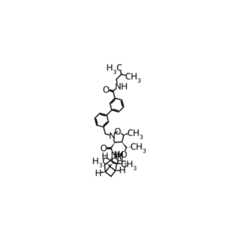 CC(C)CNC(=O)c1cccc(-c2cccc(CN3O[C@@H](C)[C@@H]([C@H](C)O)[C@H]3C(=O)N[C@H]3C[C@H]4C[C@@H]([C@@H]3C)C4(C)C)c2)c1